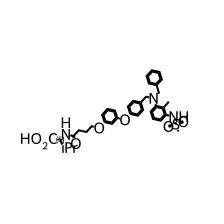 Cc1c(NS(C)(=O)=O)cccc1N(Cc1ccccc1)Cc1ccc(Oc2cccc(OCCCC(=O)N[C@H](C(=O)O)C(C)C)c2)cc1